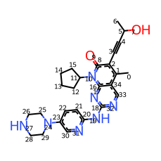 Cc1c(C#CC(C)O)c(=O)n(C2CCCC2)c2nc(Nc3ccc(N4CCNCC4)cn3)ncc12